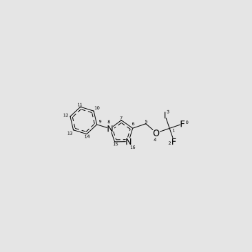 FC(F)(I)OCc1cn(-c2ccccc2)cn1